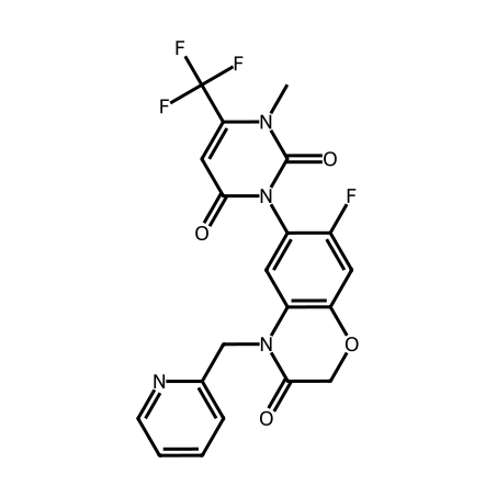 Cn1c(C(F)(F)F)cc(=O)n(-c2cc3c(cc2F)OCC(=O)N3Cc2ccccn2)c1=O